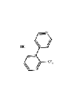 Cl.FC(F)(F)c1ccccc1-c1ccncc1